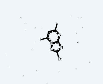 CCc1nc2nc(C)cc(I)n2n1